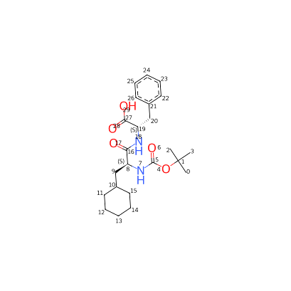 CC(C)(C)OC(=O)N[C@@H](CC1CCCCC1)C(=O)N[C@@H](Cc1ccccc1)C(=O)O